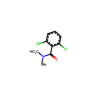 CC(C)(C)N(C(=O)O)C(=O)c1c(Cl)cccc1Cl